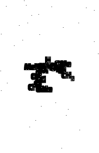 CNc1nc(Nc2ccc(-n3cnc(C)c3)c(OC)c2)ncc1OCC(=O)c1cc(Cl)c(OC)cc1Cl